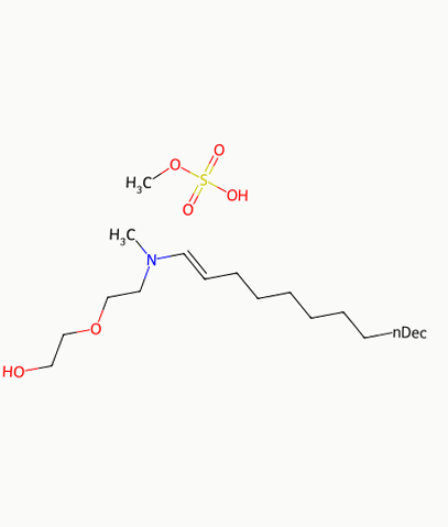 CCCCCCCCCCCCCCCCC=CN(C)CCOCCO.COS(=O)(=O)O